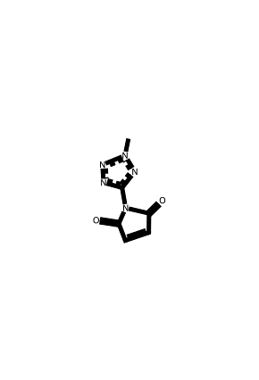 Cn1nnc(N2C(=O)C=CC2=O)n1